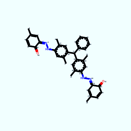 CC1=C/C(=N/Nc2cc(C)c(C(c3ccccc3)c3cc(C)c(N/N=C4\C=C(C)C=CC4=O)cc3C)cc2C)C(=O)C=C1